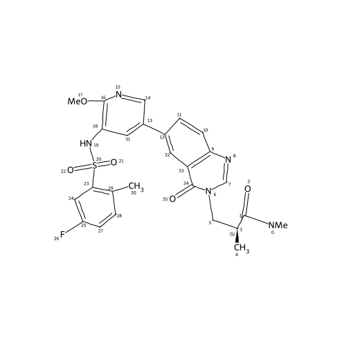 CNC(=O)[C@@H](C)Cn1cnc2ccc(-c3cnc(OC)c(NS(=O)(=O)c4cc(F)ccc4C)c3)cc2c1=O